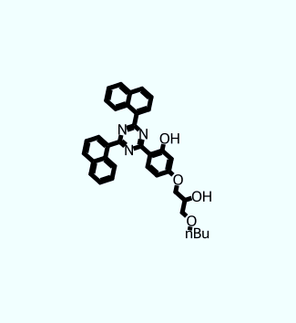 CCCCOCC(O)COc1ccc(-c2nc(-c3cccc4ccccc34)nc(-c3cccc4ccccc34)n2)c(O)c1